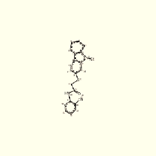 CCn1c2ccccc2c2nnc(SCC(=O)Nc3ccccc3C#N)nc21